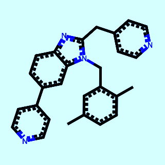 Cc1ccc(C)c(Cn2c(Cc3ccncc3)nc3ccc(-c4ccncc4)cc32)c1